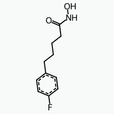 O=C(CCCCc1ccc(F)cc1)NO